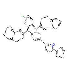 Fc1ccc2c(-c3ccc4ccccc4c3)c3cc(-c4ccc(-c5ccccc5)nc4)ccc3c(-c3ccc4ccccc4c3)c2c1